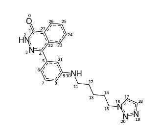 O=c1[nH]nc(-c2cccc(NCCCCCn3ccnn3)c2)c2ccccc12